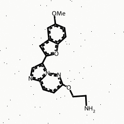 COc1ccc2oc(-c3cnc4ccc(OCCN)nn34)cc2c1